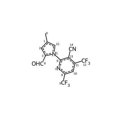 Cc1cc(C=O)n(-c2nc(C(F)(F)F)cc(C(F)(F)F)c2C#N)c1